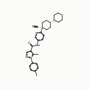 Cc1ccc(-n2ncc(C(=O)Nc3ccc([C@]4(C#N)CC[C@@H](N5CCOCC5)CC4)nc3)c2C)cc1